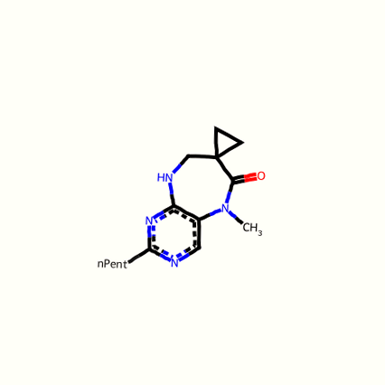 CCCCCc1ncc2c(n1)NCC1(CC1)C(=O)N2C